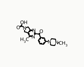 Cc1nc(C(=O)c2cccc(N3CCN(C)CC3)c2)nc2c1CN(C(=O)O)C2